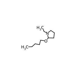 CCCCCOC1CCCN1CC